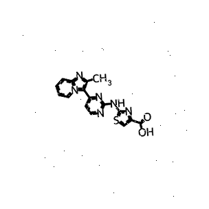 Cc1nc2ccccn2c1-c1ccnc(Nc2nc(C(=O)O)cs2)n1